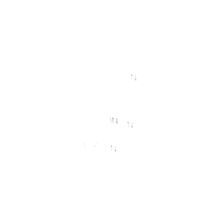 CC1CCCN1CCc1nc2cc(-c3cccnc3)ccc2[nH]1